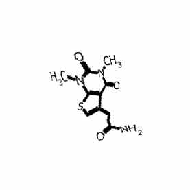 Cn1c(=O)c2c(CC(N)=O)csc2n(C)c1=O